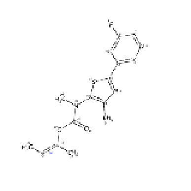 Bc1nc(-c2cncc(F)c2)sc1N(C)C(=O)O/C(C)=C\C